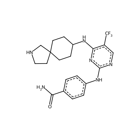 NC(=O)c1ccc(Nc2ncc(C(F)(F)F)c(NC3CCC4(CCNC4)CC3)n2)cc1